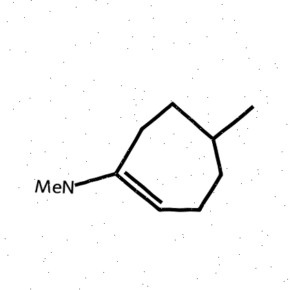 CNC1=CCCC(C)CC1